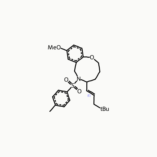 COc1ccc2c(c1)CN(S(=O)(=O)c1ccc(C)cc1)C(/C=C/CC(C)(C)C)CCCO2